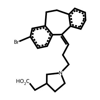 O=C(O)CC1CCN(CCC=C2c3ccccc3CCc3cc(Br)ccc32)C1